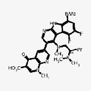 CNc1cc(F)c(F)c2c1[nH]c1ncc(-c3cnc4c(c3)c(=O)c(C(=O)O)cn4C)c(N(C)C[C@@H](C(C)C)N(C)C)c12